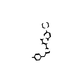 O=c1c(O)c(-c2ncc(CC3C=CC(F)=CC3)s2)nc2ccc(N3CCOCC3)cn12